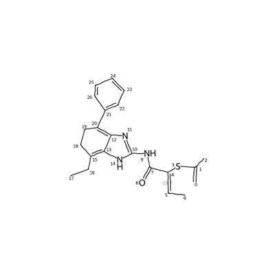 C=C(C)S/C(=C\C)C(=O)Nc1nc2c([nH]1)=C(CC)CCC=2c1ccccc1